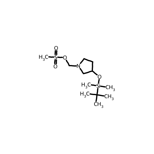 CC(C)(C)[Si](C)(C)OC1CCN(COS(C)(=O)=O)C1